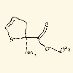 COC(=O)C1(N)CC=CS1